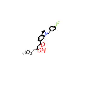 O=C(O)/C(O)=C/C(=O)c1ccc2ccn(Cc3ccc(F)cc3)c2c1